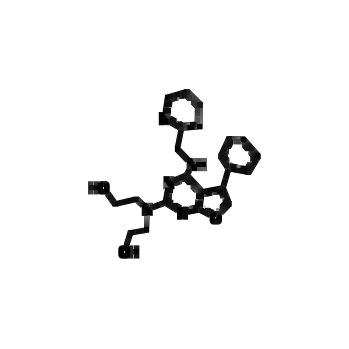 OCCN(CCO)c1nc(NCc2ccccn2)c2c(-c3ccccc3)coc2n1